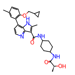 Cc1ccc(OCC2CC2)c(-c2ccnc3c(C(=O)NC4CCC(NC(=O)[C@H](C)O)CC4)c(C)[nH]c23)c1